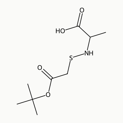 CC(NSCC(=O)OC(C)(C)C)C(=O)O